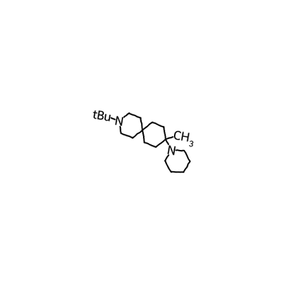 CC(C)(C)N1CCC2(CC1)CCC(C)(N1CCCCC1)CC2